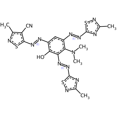 Cc1nsc(/N=N/c2cc(/N=N/c3snc(C)c3C#N)c(O)c(/N=N/c3nc(C)ns3)c2N(C)C)n1